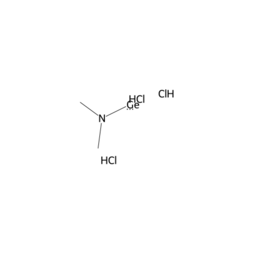 C[N](C)[Ge].Cl.Cl.Cl